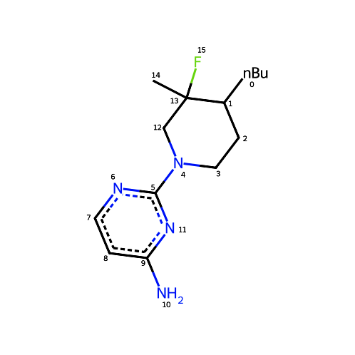 CCCCC1CCN(c2nccc(N)n2)CC1(C)F